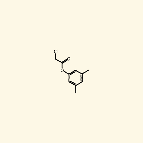 Cc1cc(C)cc(OC(=O)CCl)c1